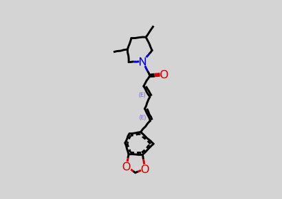 CC1CC(C)CN(C(=O)/C=C/C=C/c2ccc3c(c2)OCO3)C1